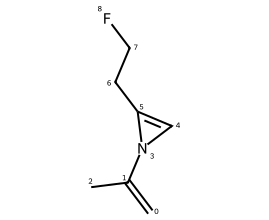 C=C(C)N1C=C1CCF